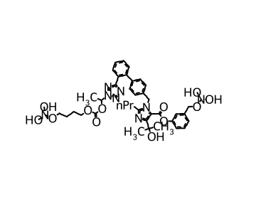 CCCc1nc(C(C)(C)O)c(C(=O)Oc2cccc(CON(O)O)c2)n1Cc1ccc(-c2ccccc2-c2nnn(C(C)OC(=O)OCCCCON(O)O)n2)cc1